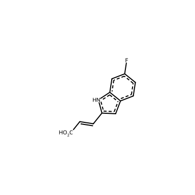 O=C(O)/C=C/c1cc2ccc(F)cc2[nH]1